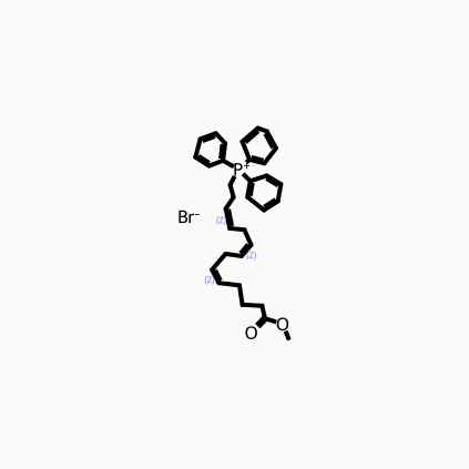 COC(=O)CCC/C=C\C/C=C\C/C=C\CC[P+](c1ccccc1)(c1ccccc1)c1ccccc1.[Br-]